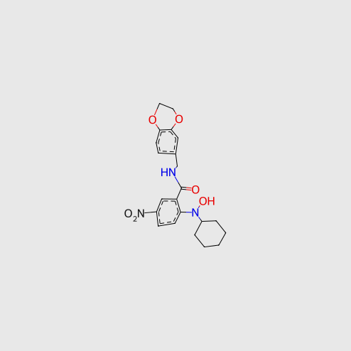 O=C(NCc1ccc2c(c1)OCCO2)c1cc([N+](=O)[O-])ccc1N(O)C1CCCCC1